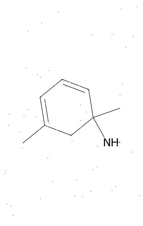 CC1=CC=CC(C)([NH])C1